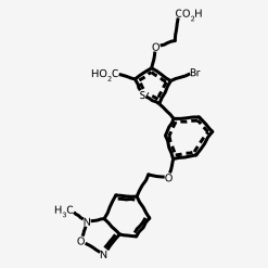 CN1ON=C2C=CC(COc3cccc(-c4sc(C(=O)O)c(OCC(=O)O)c4Br)c3)=CC21